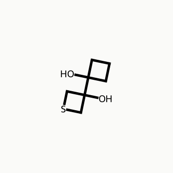 OC1(C2(O)CSC2)CCC1